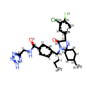 CC(C)CC[C@H](c1ccc(C(=O)NCc2nn[nH]n2)cc1)N1C(=O)C(c2ccc(F)c(Cl)c2)=NC12CCC(C(C)C)CC2